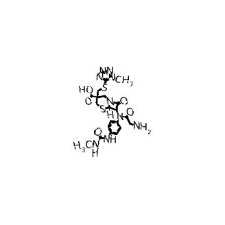 CNC(=O)Nc1ccc(N(C(=O)CN)C2C(=O)N3CC(CSc4nnnn4C)(C(=O)O)CS[C@H]23)cc1